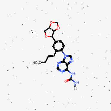 CCNC(=O)Nc1ncnc2c1ncn2-c1ccc(C2OCC3OCOC32)cc1C=CCC(=O)O